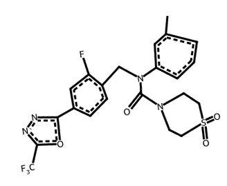 Cc1cccc(N(Cc2ccc(-c3nnc(C(F)(F)F)o3)cc2F)C(=O)N2CCS(=O)(=O)CC2)c1